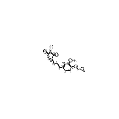 COCOc1ccc(C=CC=C2SC(=O)NC2=O)cc1OC